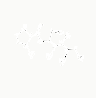 O=C[C@H](OC(=O)[C@H]1NCCC1O)[C@@H](O)[C@H](O)[C@H](O)CO